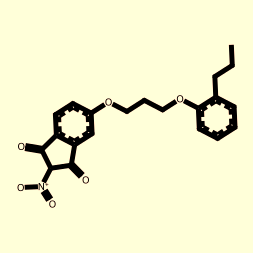 CCCc1ccccc1OCCCOc1ccc2c(c1)C(=O)C([N+](=O)[O-])C2=O